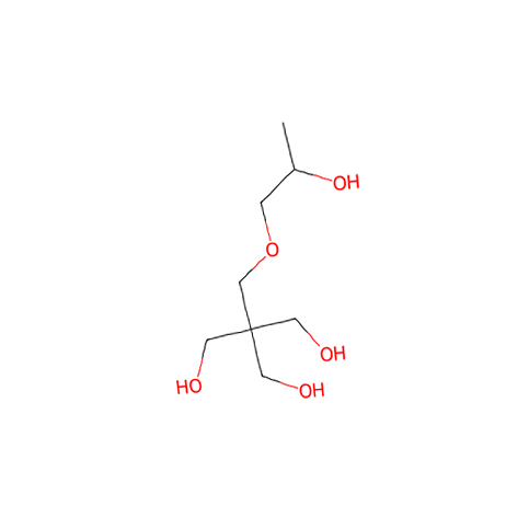 CC(O)COCC(CO)(CO)CO